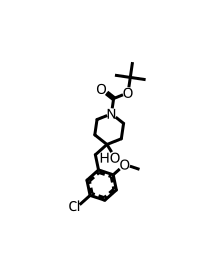 COc1ccc(Cl)cc1CC1(O)CCN(C(=O)OC(C)(C)C)CC1